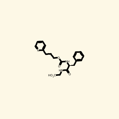 O=C(O)CNC(=O)[C@H](Cc1ccccc1)NC(=O)OCCCc1ccccn1